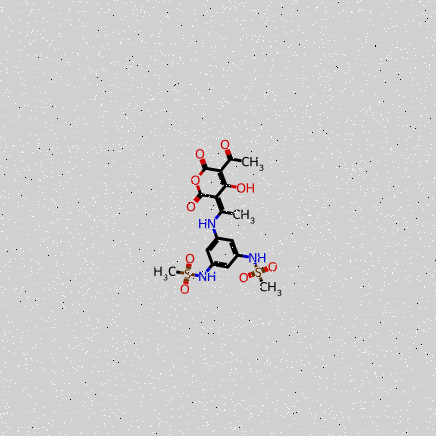 CC(=O)C1=C(O)/C(=C(\C)Nc2cc(NS(C)(=O)=O)cc(NS(C)(=O)=O)c2)C(=O)OC1=O